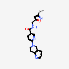 CCCc1cc(CNC(=O)c2ccc(N3CCc4ncccc4C3)nc2)on1